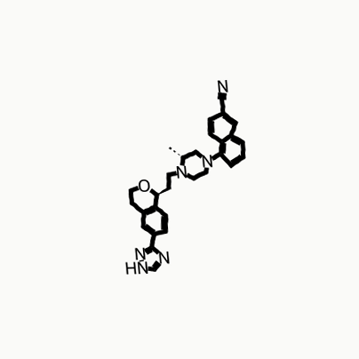 C[C@@H]1CN(c2cccc3cc(C#N)ccc23)CCN1CC[C@@H]1OCCc2cc(-c3nc[nH]n3)ccc21